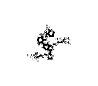 Cc1ncccc1S(=O)(=O)Nc1ccc(F)c(-c2ccc3c(-c4nccn4COCC[Si](C)(C)C)nn(COCC[Si](C)(C)C)c3c2F)c1F